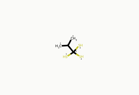 CC(C)C(S)(S)S